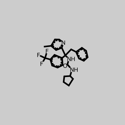 Cc1ccnc(C(Cc2ccccc2)(NC(=O)NC2CCCC2)c2cccc(C(F)(F)F)c2)c1